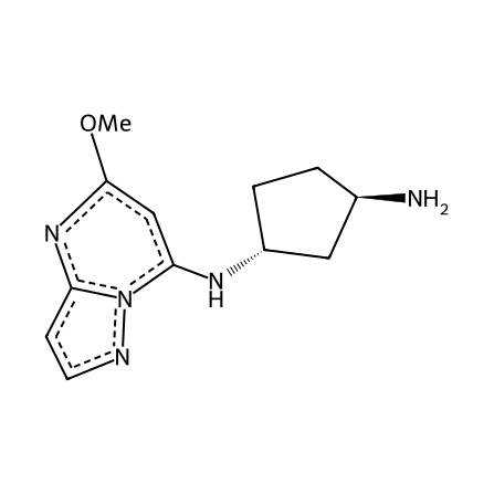 COc1cc(N[C@@H]2CC[C@@H](N)C2)n2nccc2n1